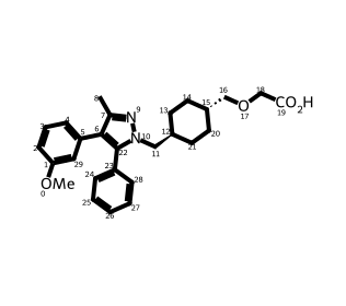 COc1cccc(-c2c(C)nn(C[C@H]3CC[C@H](COCC(=O)O)CC3)c2-c2ccccc2)c1